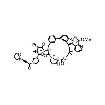 CCn1c(-c2cccnc2[C@H](C)OC)c2c3cc(ccc31)-c1cccc(c1)C[C@H](NC(=O)[C@H](C(C)C)N(C)C(=O)[C@H]1CCN(C(=O)C#C[C@H]3CCCO3)C1)C(=O)N1CCC[C@H](N1)C(=O)OCC(C)(C)C2